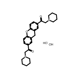 Cl.Cl.O=C(CN1CCCCC1)c1ccc2c(c1)Cc1cc(C(=O)CN3CCCCC3)ccc1O2